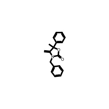 C=C1N(Cc2ccccc2)C(=O)OC1(C)c1ccccc1